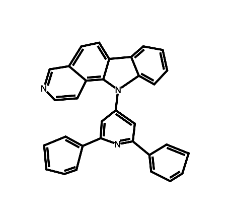 c1ccc(-c2cc(-n3c4ccccc4c4ccc5cnccc5c43)cc(-c3ccccc3)n2)cc1